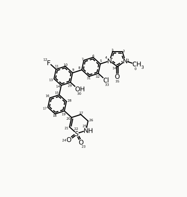 Cn1ccn(-c2ccc(-c3cc(F)cc(-c4cccc(C5=CS(=O)(=O)NCC5)c4)c3O)cc2Cl)c1=O